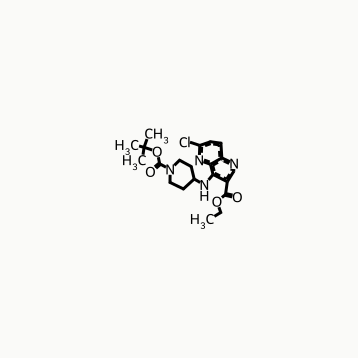 CCOC(=O)c1cnc2ccc(Cl)nc2c1NC1CCN(C(=O)OC(C)(C)C)CC1